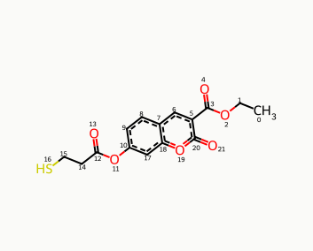 CCOC(=O)c1cc2ccc(OC(=O)CCS)cc2oc1=O